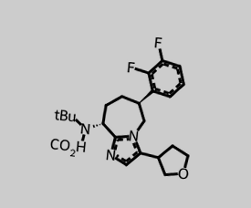 CC(C)(C)N(C(=O)O)[C@@H]1CC[C@@H](c2cccc(F)c2F)Cn2c(C3CCOC3)cnc21